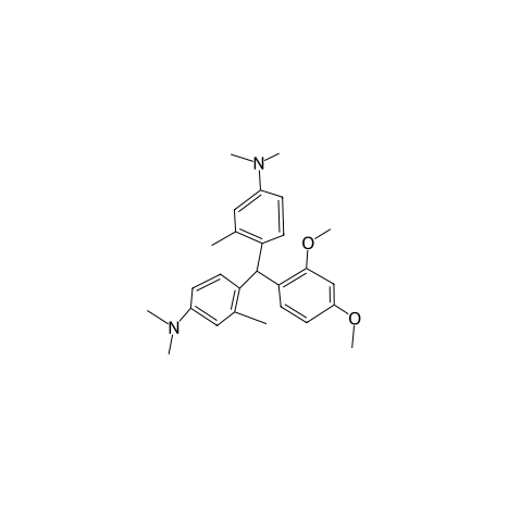 COc1ccc(C(c2ccc(N(C)C)cc2C)c2ccc(N(C)C)cc2C)c(OC)c1